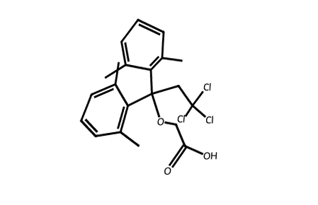 Cc1cccc(C)c1C(CC(Cl)(Cl)Cl)(OCC(=O)O)c1c(C)cccc1C